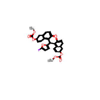 CC(C)(C)OC(=O)Oc1ccc2c3c(ccc2c1)Oc1ccc2cc(OC(=O)OC(C)(C)C)ccc2c1C3c1ccc(I)o1